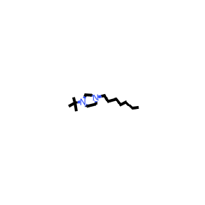 CCCCCCCN1CCN(C(C)(C)C)CC1